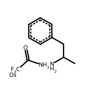 CC(N)Cc1ccccc1.NC(=O)C(F)(F)F.[Os]